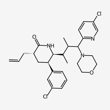 C=CC[C@H]1C[C@H](c2cccc(Cl)c2)[C@H](C(C)C(C)C(c2ccc(Cl)cn2)N2CCOCC2)NC1=O